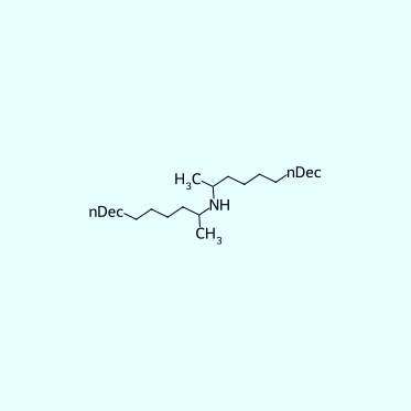 CCCCCCCCCCCCCCC(C)NC(C)CCCCCCCCCCCCCC